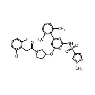 Cc1cccc(C)c1-c1cc(OC2CCN(C(=O)Cc3c(F)cccc3Cl)C2)nc(NS(=O)(=O)c2cnn(C)c2)n1